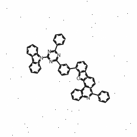 c1ccc(-c2nc(-c3cccc(-c4cccc5c4oc4c5ccc5c(-c6ccccc6)nc6ccccc6c54)c3)nc(-n3c4ccccc4c4ccccc43)n2)cc1